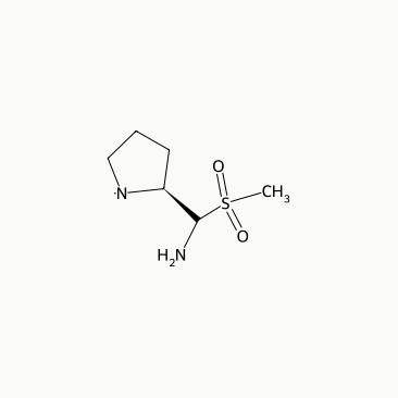 CS(=O)(=O)C(N)[C@@H]1CCC[N]1